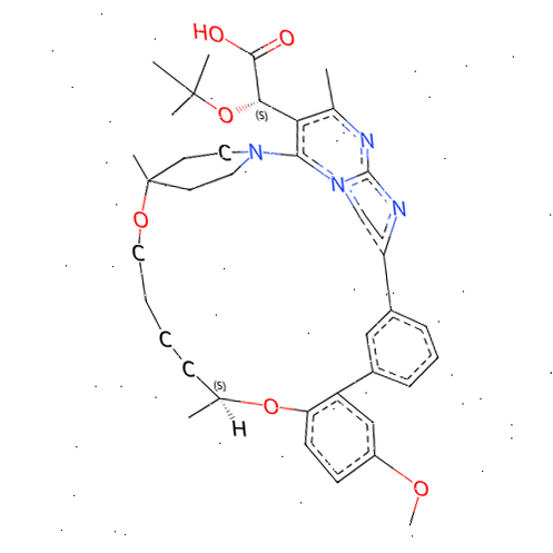 COc1ccc2c(c1)-c1cccc(c1)-c1cn3c(c([C@H](OC(C)(C)C)C(=O)O)c(C)nc3n1)N1CCC(C)(CC1)OCCCC[C@H](C)O2